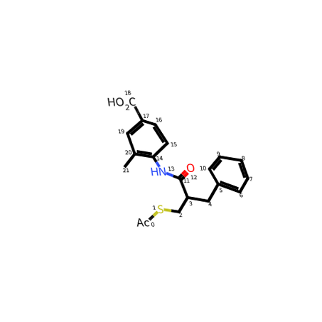 CC(=O)SCC(Cc1ccccc1)C(=O)Nc1ccc(C(=O)O)cc1C